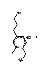 Cl.Cl.NCCCc1ccc(CN)c(F)c1